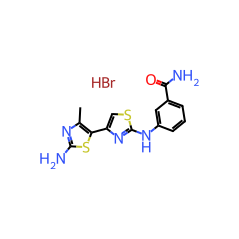 Br.Cc1nc(N)sc1-c1csc(Nc2cccc(C(N)=O)c2)n1